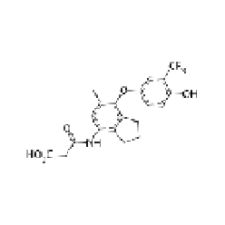 Cc1cc(NC(=O)CC(=O)O)c2c(c1Oc1ccc(O)c(C(F)(F)F)c1)CCC2